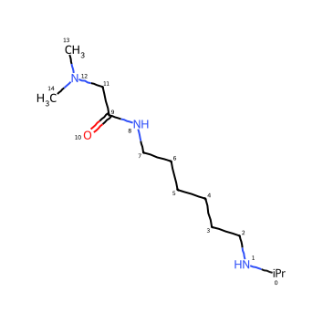 CC(C)NCCCCCCNC(=O)CN(C)C